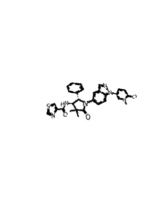 Cn1cc(-n2ncc3cc(N4C(=O)C(C)(C)[C@@H](NC(=O)c5cscn5)[C@@H]4c4ccccc4)ccc32)ccc1=O